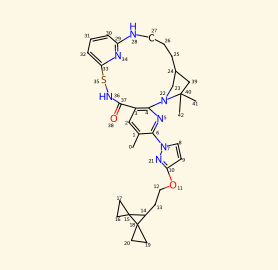 Cc1cc2c(nc1-n1ccc(OCCC3C4(CC4)C34CC4)n1)N1CC(CCCNc3cccc(n3)SNC2=O)CC1(C)C